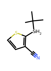 CC(C)(C)[SiH2]c1sccc1C#N